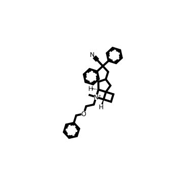 C[N+]1(CCOCc2ccccc2)[C@H]2CCC23CC(CC(C#N)(c2ccccc2)c2ccccc2)C[C@@H]31